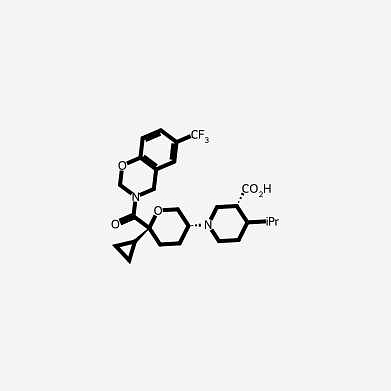 CC(C)C1CCN([C@@H]2CC[C@@](C(=O)N3COc4ccc(C(F)(F)F)cc4C3)(C3CC3)OC2)C[C@@H]1C(=O)O